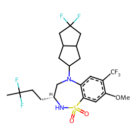 COc1cc2c(cc1C(F)(F)F)N(C1CC3CC(F)(F)CC3C1)C[C@@H](CCC(C)(F)F)NS2(=O)=O